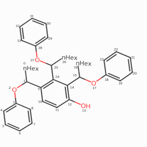 CCCCCCC(Oc1ccccc1)c1ccc(O)c(C(CCCCCC)Oc2ccccc2)c1C(CCCCCC)Oc1ccccc1